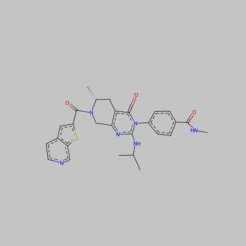 CNC(=O)c1ccc(-n2c(NC(C)C)nc3c(c2=O)C[C@@H](C)N(C(=O)c2cc4ccncc4s2)C3)cc1